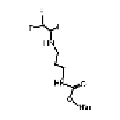 CC(C)(C)OC(=O)NCCCNC(F)C(F)F